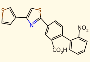 O=C(O)c1cc(-c2nc(-c3ccsc3)cs2)ccc1-c1ccccc1[N+](=O)[O-]